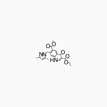 CCOC(=O)c1c[nH]c2cc(Cn3nc(C)cc3C)c(C(=O)OC)cc2c1=O